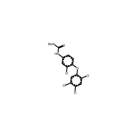 CNC(=S)Nc1ccc(Oc2cc(Cl)c(Cl)cc2Cl)c(Cl)c1